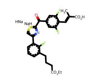 CCOC(=O)CCCc1cccc(-c2csc(C(=O)c3cc(F)c(C=C(C)C(=O)O)c(F)c3)n2)c1F.[NaH].[NaH]